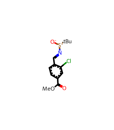 COC(=O)c1ccc(/C=N/[S+]([O-])C(C)(C)C)c(Cl)c1